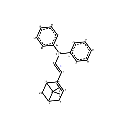 CC1(C)C2CC=C(/C=C/P(c3ccccc3)c3ccccc3)C1C2